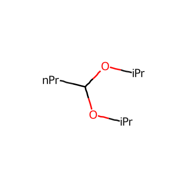 [CH2]CCC(OC(C)C)OC(C)C